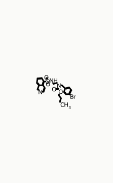 CCCCOC(=O)N(CCNS(=O)(=O)c1cccc2cnccc12)Cc1ccc(Br)cc1